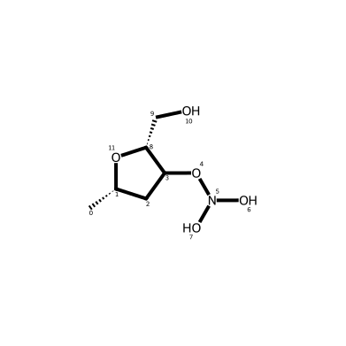 C[C@H]1CC(ON(O)O)[C@@H](CO)O1